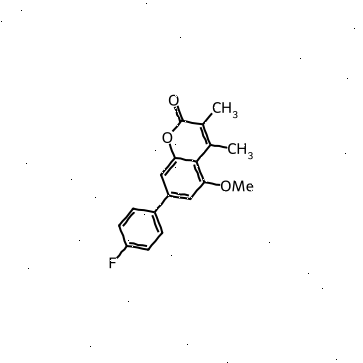 COc1cc(-c2ccc(F)cc2)cc2oc(=O)c(C)c(C)c12